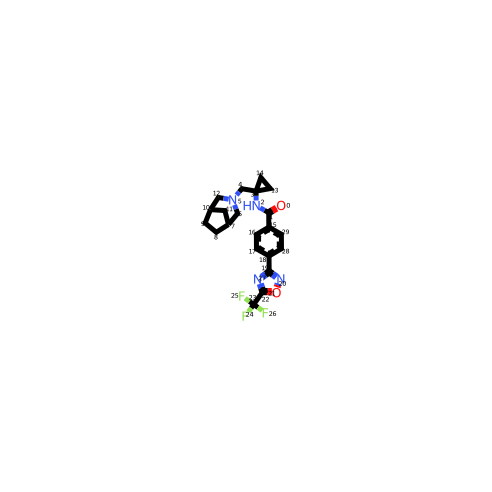 O=C(NC1(CN2CC3CCC(C3)C2)CC1)c1ccc(-c2noc(C(F)(F)F)n2)cc1